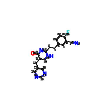 N#Cc1cc(CCc2nc(=O)c(Cc3cncnc3)c[nH]2)ccc1F